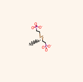 O=P([O-])([O-])CCSSCCP(=O)([O-])[O-].[Na+].[Na+].[Na+].[Na+]